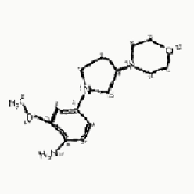 COc1cc(N2CCC(N3CCOCC3)C2)ccc1N